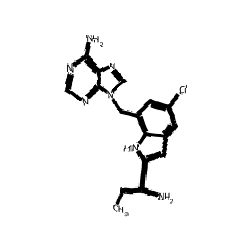 CCC(N)c1cc2cc(Cl)cc(Cn3cnc4c(N)ncnc43)c2[nH]1